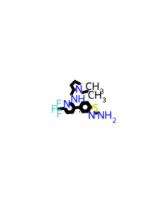 CC(C)CN1CCCC1CNc1nc(C(F)(F)F)ccc1-c1[c]c2nc(N)sc2cc1